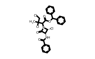 CC(Cl)(CCl)C(C(=O)OC(c1ccccc1)c1ccccc1)N1C(=O)[C@@H](NC(=O)c2ccccc2)[C@H]1Cl